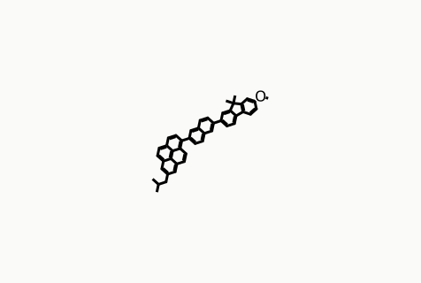 COc1ccc2c(c1)C(C)(C)c1cc(-c3ccc4cc(-c5ccc6ccc7cc(CC(C)C)cc8ccc5c6c78)ccc4c3)ccc1-2